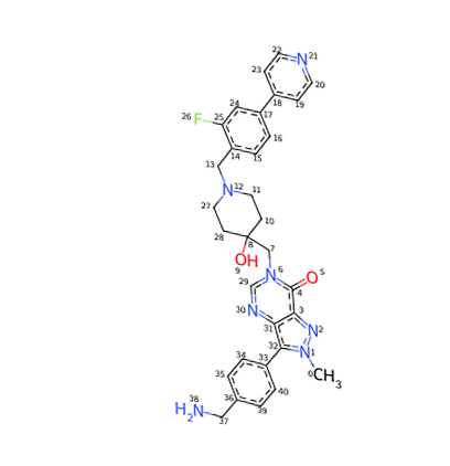 Cn1nc2c(=O)n(CC3(O)CCN(Cc4ccc(-c5ccncc5)cc4F)CC3)cnc2c1-c1ccc(CN)cc1